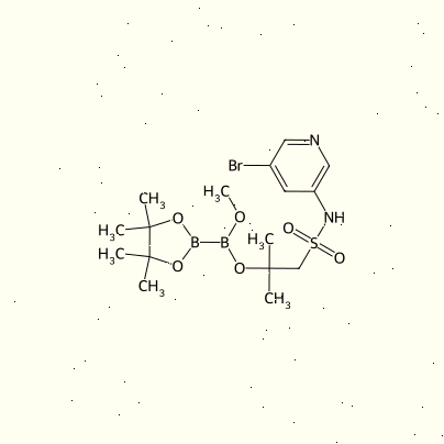 COB(OC(C)(C)CS(=O)(=O)Nc1cncc(Br)c1)B1OC(C)(C)C(C)(C)O1